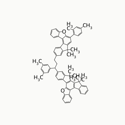 Cc1cc(C)cc(C(CCc2ccc3c(c2)C(C)(C)c2cc(-c4ccc(C)cc4C)c4oc5ccccc5c4c2-3)c2ccc3c(c2)C(C)(C)c2c4c(c5c(oc6ccccc65)c2-3)-c2ccccc2C4(C)C)c1